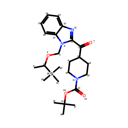 CC(OCn1c(C(=O)C2CCN(C(=O)OC(C)(C)C)CC2)nc2ccccc21)[Si](C)(C)C